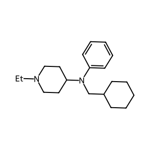 CCN1CCC(N(CC2CCCCC2)c2ccccc2)CC1